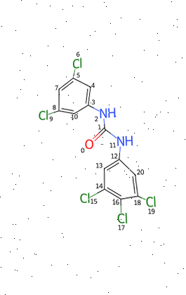 O=C(Nc1cc(Cl)cc(Cl)c1)Nc1cc(Cl)c(Cl)c(Cl)c1